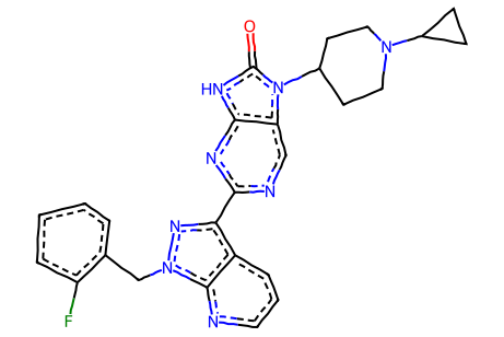 O=c1[nH]c2nc(-c3nn(Cc4ccccc4F)c4ncccc34)ncc2n1C1CCN(C2CC2)CC1